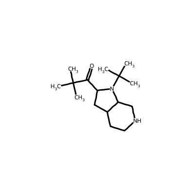 CC(C)(C)C(=O)C1CC2CCNCC2N1C(C)(C)C